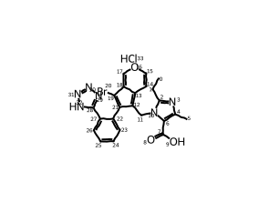 CCc1nc(C)c(C(=O)O)n1Cc1c2ccocc-2c(Br)c1-c1ccccc1-c1nnn[nH]1.Cl